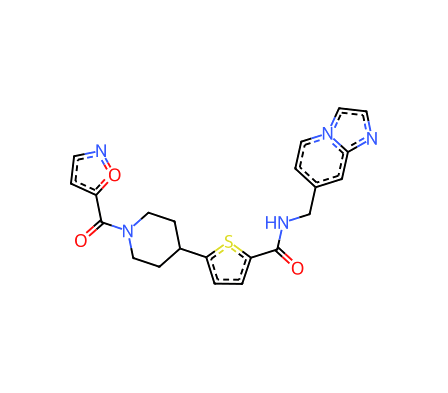 O=C(NCc1ccn2ccnc2c1)c1ccc(C2CCN(C(=O)c3ccno3)CC2)s1